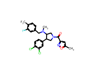 Cc1cc(C(=O)N2CC(c3ccc(Cl)c(Cl)c3)C(N(C)Cc3ccc(C(F)(F)F)c(F)c3)C2)no1